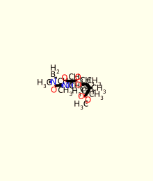 BCN(C)C(=O)C(C)(C)NC(=O)C(C)(C)C(=O)OC(C)(C)/C(C)=C(/C)C(C)(C)C(=O)OC